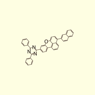 c1ccc(-c2nc(-c3ccccc3)nc(-c3ccc4c(c3)Oc3ccc(-c5ccc6ccccc6c5)c5cccc-4c35)n2)cc1